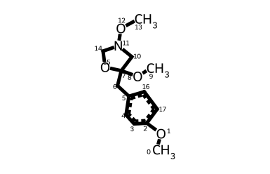 COc1ccc(CC2(OC)CN(OC)CO2)cc1